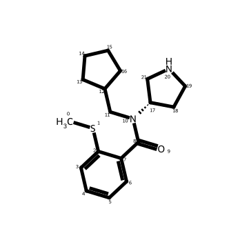 CSc1ccccc1C(=O)N(CC1CCCC1)[C@H]1CCNC1